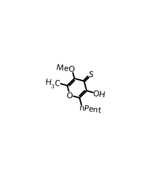 CCCCCc1oc(C)c(OC)c(=S)c1O